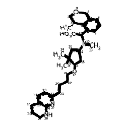 C[C@@H]1COCc2cccc(C(C(=O)O)N(C)C3CC(OCCCCc4ccc5c(n4)NCCC5)C(C)(C)C3)c21